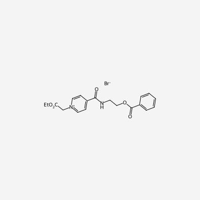 CCOC(=O)C[n+]1ccc(C(=O)NCCOC(=O)c2ccccc2)cc1.[Br-]